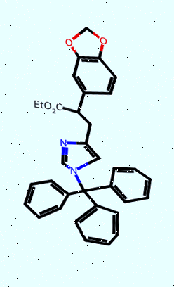 CCOC(=O)C(Cc1cn(C(c2ccccc2)(c2ccccc2)c2ccccc2)cn1)c1ccc2c(c1)OCO2